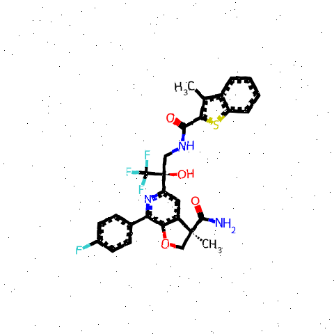 Cc1c(C(=O)NC[C@](O)(c2cc3c(c(-c4ccc(F)cc4)n2)OC[C@]3(C)C(N)=O)C(F)(F)F)sc2ccccc12